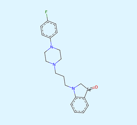 O=[Se]1CN(CCCN2CCN(c3ccc(F)cc3)CC2)c2ccccc21